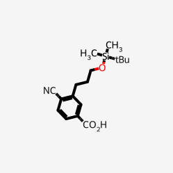 CC(C)(C)[Si](C)(C)OCCCc1cc(C(=O)O)ccc1C#N